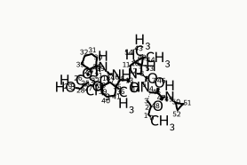 CCCC[C@H](NC(=O)[C@@H]1[C@@H]2[C@H](CN1C(=O)[C@@H](NC(=O)NC1(CS(=O)(=O)C(C)(C)CO)CCCCC1)C1(C)CCCCC1)C2(C)C)C(=O)C(=O)NC1CC1